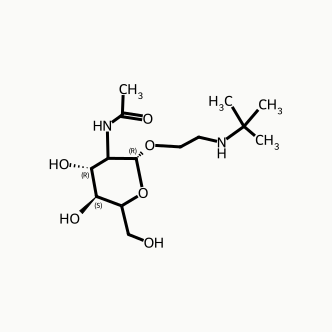 CC(=O)NC1[C@H](OCCNC(C)(C)C)OC(CO)[C@@H](O)[C@@H]1O